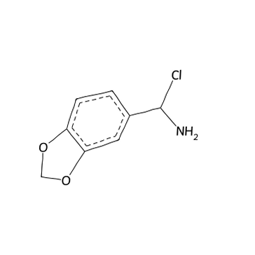 NC(Cl)c1ccc2c(c1)OCO2